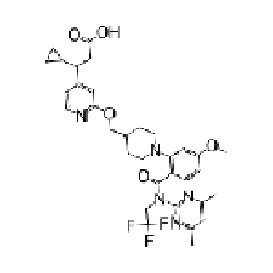 COc1ccc(C(=O)N(CC(F)(F)F)c2nc(C)cc(C)n2)c(N2CCC(COc3cc(C(CC(=O)O)C4CC4)ccn3)CC2)c1